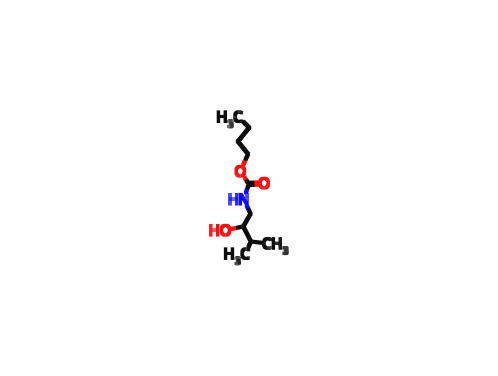 CCCCOC(=O)NCC(O)C(C)C